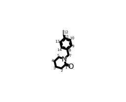 O=C1CCCCN1Cc1ccc(I)cc1